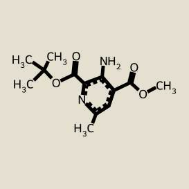 COC(=O)c1cc(C)nc(C(=O)OC(C)(C)C)c1N